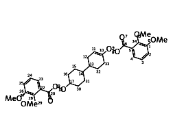 COc1cccc(C(=O)OOC2=CCC(C3CCC(OOC(=O)c4cccc(OC)c4OC)CC3)CC2)c1OC